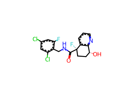 O=C(NCc1c(F)cc(Cl)cc1Cl)[C@]1(F)CC[C@@H](O)c2ncccc21